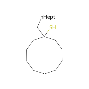 CCCCCCCCC1(S)CCCCCCCCC1